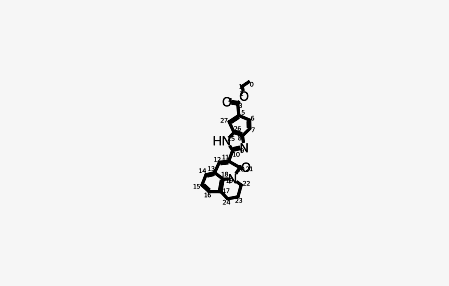 CCOC(=O)c1ccc2nc(-c3cc4cccc5c4n(c3=O)CCC5)[nH]c2c1